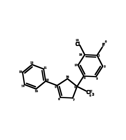 Fc1ccc(C2(C(F)(F)F)CC=C(c3ccccc3)C2)cc1Cl